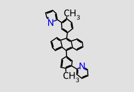 Cc1ccc(-c2c3ccccc3c(-c3ccc(C)c(-c4ccccn4)c3)c3ccccc23)cc1-c1ccccn1